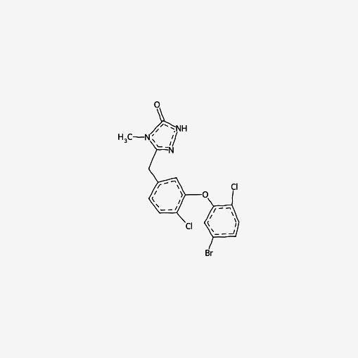 Cn1c(Cc2ccc(Cl)c(Oc3cc(Br)ccc3Cl)c2)n[nH]c1=O